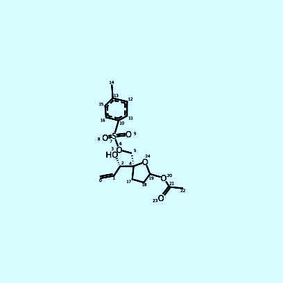 C=C[C@H](O)[C@]1(COS(=O)(=O)c2ccc(C)cc2)CCC(OC(C)=O)O1